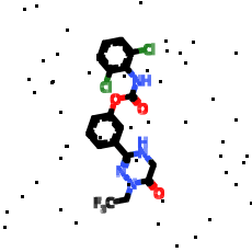 O=C(Nc1c(Cl)cccc1Cl)Oc1cccc(C2=NN(CC(F)(F)F)C(=O)CN2)c1